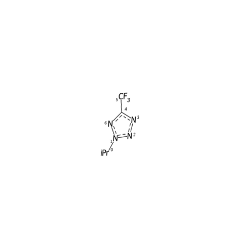 CC(C)n1nnc(C(F)(F)F)n1